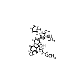 CNC[C@H](O)[C@H](CC1CCCCC1)NC(=O)N1CCC[C@@H]([C@@](O)(CCCCOC)c2cccc(Cl)c2F)C1